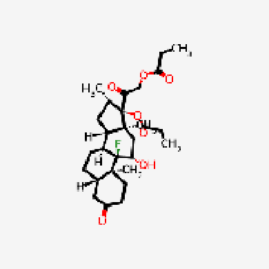 CCC(=O)OCC(=O)[C@@]1(OC(=O)CC)[C@@H](C)C[C@H]2[C@@H]3CC[C@H]4CC(=O)CC[C@]4(C)[C@@]3(F)[C@@H](O)C[C@@]21C